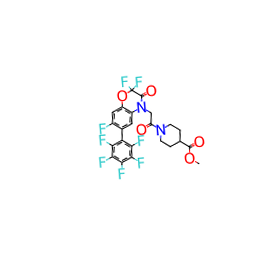 COC(=O)C1CCN(C(=O)CN2C(=O)C(F)(F)Oc3cc(F)c(-c4c(F)c(F)c(F)c(F)c4F)cc32)CC1